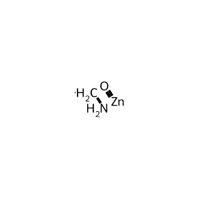 [CH2]N.[O]=[Zn]